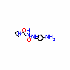 Nc1ccc(CNC(=O)NCC(=O)N2CCCC2)cc1